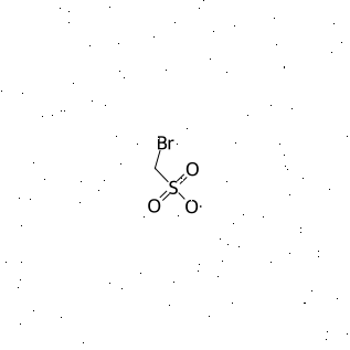 [O]S(=O)(=O)CBr